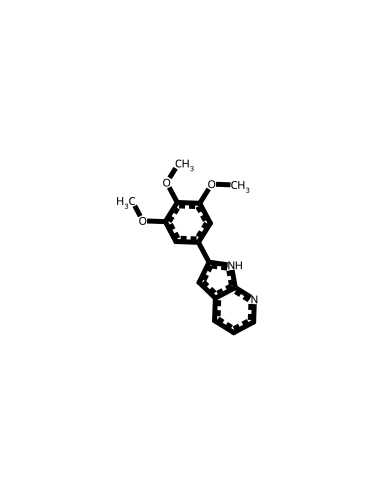 COc1cc(-c2cc3cccnc3[nH]2)cc(OC)c1OC